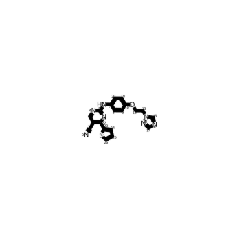 N#Cc1cnc(Nc2ccc(OCCn3cncn3)cc2)nc1-c1cccs1